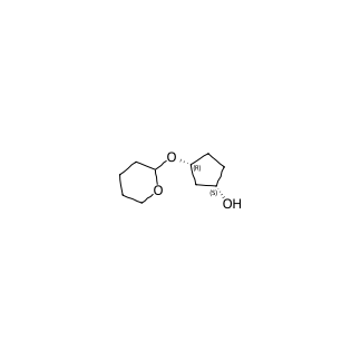 O[C@H]1CC[C@@H](OC2CCCCO2)C1